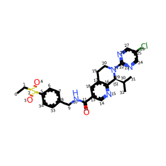 CCS(=O)(=O)c1ccc(CNC(=O)c2cnc3c(c2)CCN(c2ncc(Cl)cn2)[C@H]3C(C)C)cc1